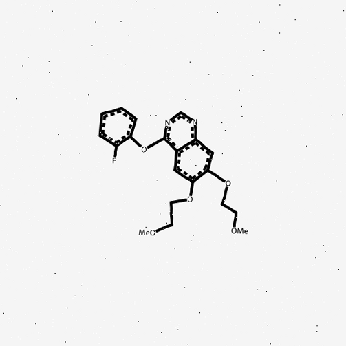 COCCOc1cc2ncnc(Oc3ccc[c]c3F)c2cc1OCCOC